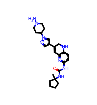 CC1(NC(=O)Nc2ccc3c(n2)C=C(c2cnn(C4CCN(N)CC4)c2)CN3)CCCC1